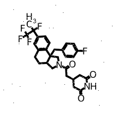 CC(F)(c1ccc2c(c1)CCC1CN(C(=O)CC3CC(=O)NC(=O)C3)CC21Cc1ccc(F)cc1)C(F)(F)F